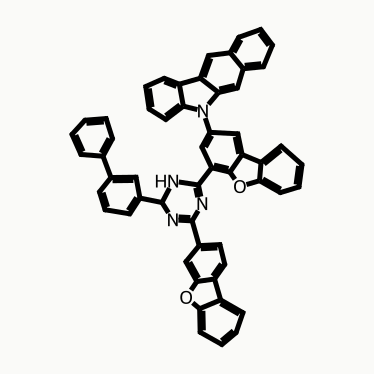 c1ccc(-c2cccc(C3N=C(c4ccc5c(c4)oc4ccccc45)N=C(c4cc(-n5c6ccccc6c6cc7ccccc7cc65)cc5c4oc4ccccc45)N3)c2)cc1